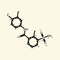 Cc1cc(NC(=O)c2cccc(S(N)(=O)=O)c2C)ccc1F